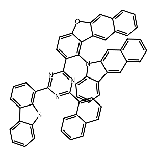 c1ccc2cc3c(cc2c1)oc1ccc(-c2nc(-c4cccc5ccccc45)nc(-c4cccc5c4sc4ccccc45)n2)c(-n2c4ccccc4c4cc5ccccc5cc42)c13